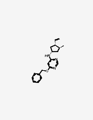 CC[C@H]1C[C@@H](Nc2cc(OCc3ccccc3)ncn2)C[C@@H]1C